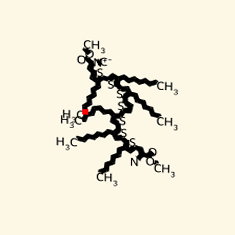 [C-]#[N+]/C(=C\c1cc(CCCCCCCC)c(-c2cc(CCCCCCCC)c(-c3cc(CCCCCCCC)c(-c4ccc(-c5sc(-c6sc(-c7sc(/C=C(\C#N)C(=O)OCC)cc7CCCCCCCC)cc6CCCCCCCC)cc5CCCCCCCC)s4)s3)s2)s1)C(=O)OCC